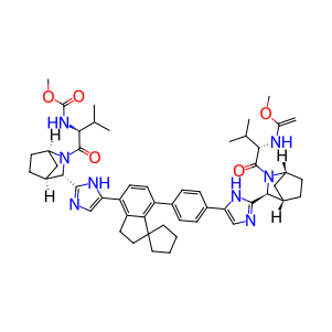 C=C(N[C@H](C(=O)N1[C@@H]2CC[C@@H](C2)[C@H]1c1ncc(-c2ccc(-c3ccc(-c4cnc([C@@H]5[C@H]6CC[C@H](C6)N5C(=O)[C@@H](NC(=O)OC)C(C)C)[nH]4)c4c3C3(CCCC3)CC4)cc2)[nH]1)C(C)C)OC